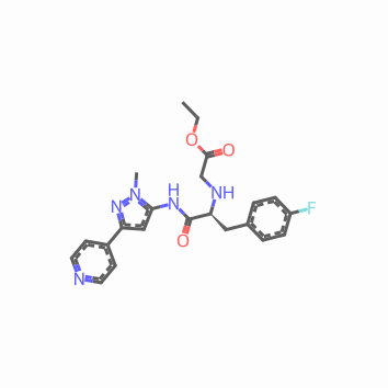 CCOC(=O)CN[C@@H](Cc1ccc(F)cc1)C(=O)Nc1cc(-c2ccncc2)nn1C